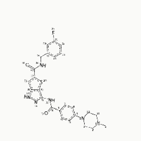 CN1CCN(c2ccc(C(=O)Nc3n[nH]c4cc(C(=O)NCc5cccc(F)c5)sc34)cc2)CC1